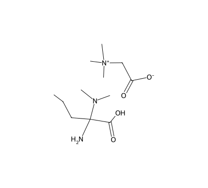 CCCC(N)(C(=O)O)N(C)C.C[N+](C)(C)CC(=O)[O-]